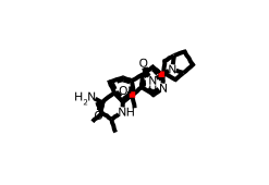 CC(=O)c1ccc(N2C3CCC2CC(NC(=O)c2ccc(C(N)=O)c(NC(C)C(C)C)c2)C3)nc1